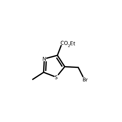 CCOC(=O)c1nc(C)sc1CBr